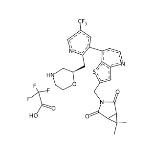 CC1(C)C2C(=O)N(Cc3cc4nccc(-c5cc(C(F)(F)F)cnc5C[C@@H]5CNCCO5)c4s3)C(=O)C21.O=C(O)C(F)(F)F